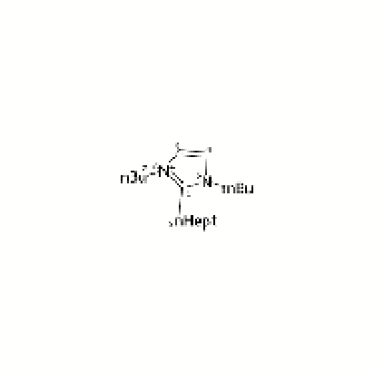 CCCCCCCc1n(CCCC)cc[n+]1CCCC